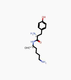 NCCCC[C@H](C=O)NC(=O)[C@H](N)Cc1ccc(O)cc1